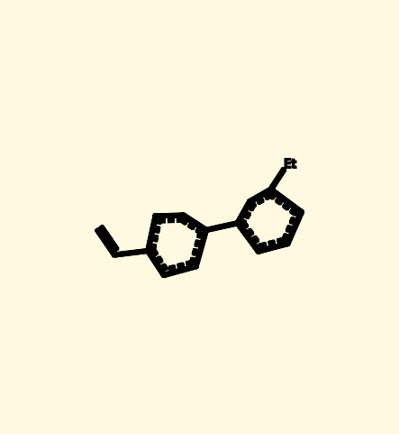 C=Cc1ccc(-c2cccc(CC)c2)cc1